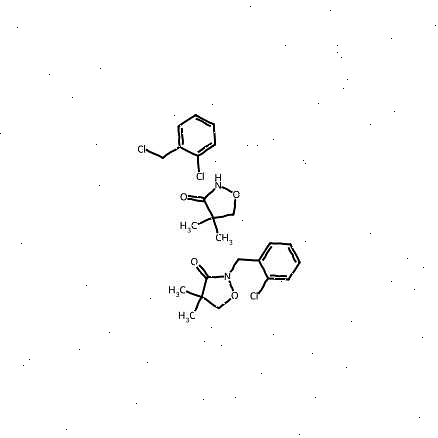 CC1(C)CON(Cc2ccccc2Cl)C1=O.CC1(C)CONC1=O.ClCc1ccccc1Cl